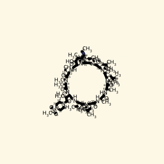 C/C=C/C[C@@H](C)[C@@H](O)[C@H]1C(=O)N[C@@H](CC)C(=O)N(C)[C@H](C)C(=O)N(C)[C@@H]([C@H](C)CN2CCN(S(C)(=O)=O)CC2)C(=O)N[C@@H](C(C)C)C(=O)N(C)[C@@H](CC(C)C)C(=O)N[C@@H](C)C(=O)N[C@H](C)C(=O)N(C)[C@@H](CC(C)C)C(=O)N(C)[C@@H](CC(C)C)C(=O)N(C)[C@@H](C(C)C)C(=O)N1C